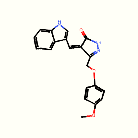 COc1ccc(OCC2=NNC(=O)/C2=C\c2c[nH]c3ccccc23)cc1